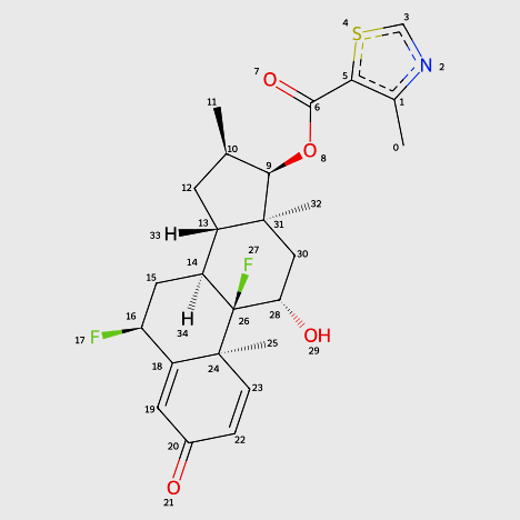 Cc1ncsc1C(=O)O[C@@H]1[C@H](C)C[C@H]2[C@@H]3C[C@H](F)C4=CC(=O)C=C[C@]4(C)[C@@]3(F)[C@@H](O)C[C@]12C